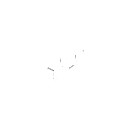 CCC(/N=C\N(C)C(N)=O)C(C)C